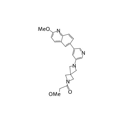 COCC(=O)N1CC2(C1)CN(c1cncc(-c3ccc4nc(OC)ccc4c3)c1)C2